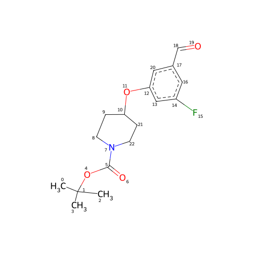 CC(C)(C)OC(=O)N1CCC(Oc2cc(F)cc(C=O)c2)CC1